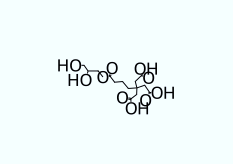 O=C(O)CC(CCCC(=O)OCC(O)CO)(CC(=O)O)CC(=O)O